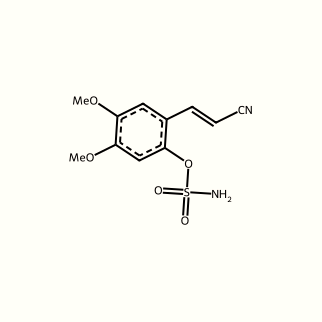 COc1cc(C=CC#N)c(OS(N)(=O)=O)cc1OC